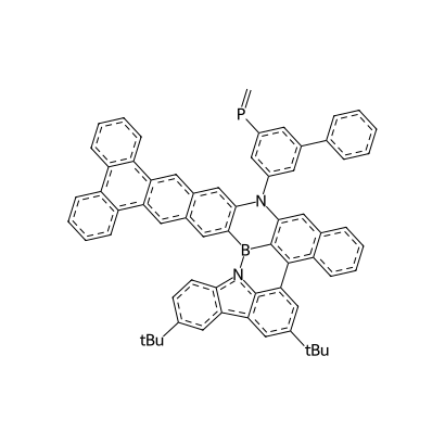 C=Pc1cc(-c2ccccc2)cc(N2c3cc4cc5c6ccccc6c6ccccc6c5cc4cc3B3c4c2cc2ccccc2c4-c2cc(C(C)(C)C)cc4c5cc(C(C)(C)C)ccc5n3c24)c1